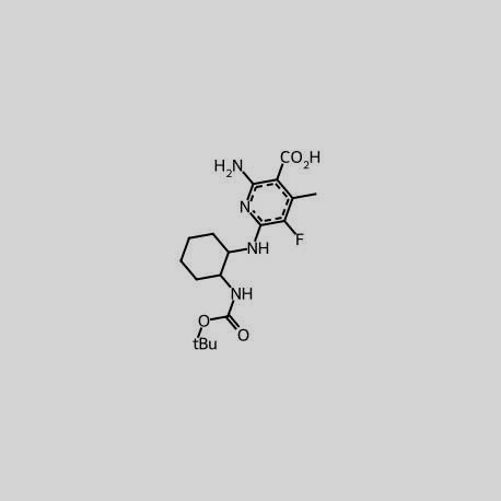 Cc1c(F)c(NC2CCCCC2NC(=O)OC(C)(C)C)nc(N)c1C(=O)O